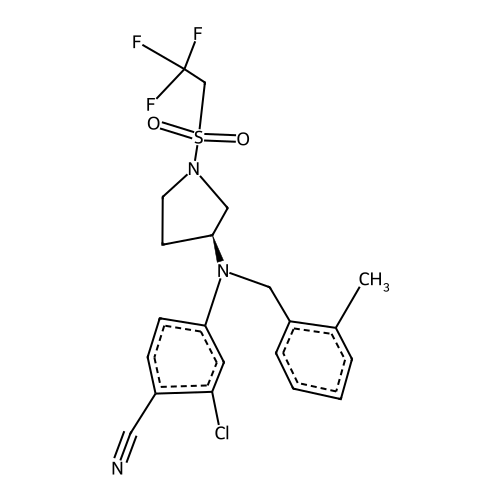 Cc1ccccc1CN(c1ccc(C#N)c(Cl)c1)[C@H]1CCN(S(=O)(=O)CC(F)(F)F)C1